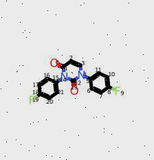 O=c1ccn(-c2ccc(F)cc2)c(=O)n1-c1ccc(F)cc1